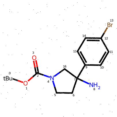 CC(C)(C)OC(=O)N1CCC(N)(c2ccc(Br)cc2)C1